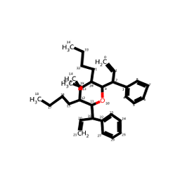 C=CC(c1ccccc1)C(OC(C(CC)CCCC)C(C=C)c1ccccc1)C(CC)CCCC